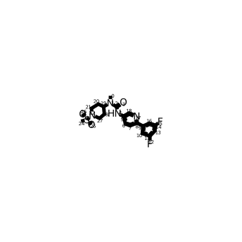 CN(C(=O)Nc1ccc(-c2cc(F)cc(F)c2)nc1)C1CCN(S(C)(=O)=O)CC1